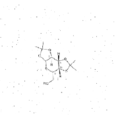 CC1(C)O[C@@H]2[C@H](O1)[C@H](CO)OC1OC(C)(C)O[C@H]12